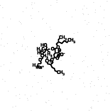 CC(C)(CO)CO.CCCCC(CC)COC(=O)CC(C(=O)OCC(CC)CCCC)S(=O)(=O)[O-].CCOCC.[Na+]